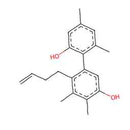 C=CCCc1c(-c2c(C)cc(C)cc2O)cc(O)c(C)c1C